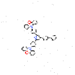 c1ccc(-c2ccc(-c3cc(-c4ccc(N5c6ccccc6Oc6ccccc65)cc4)nc(-c4ccc(N5c6ccccc6Oc6ccccc65)cc4)c3)cc2)cc1